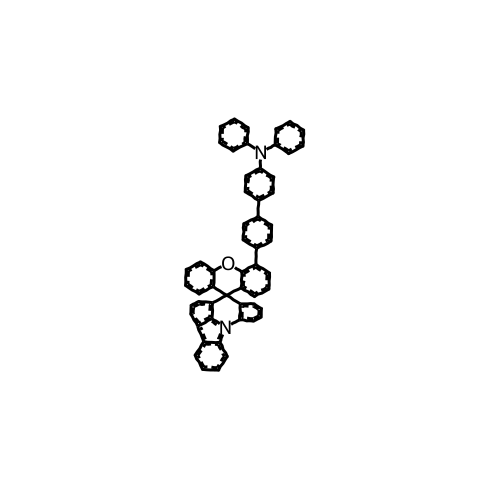 c1ccc(N(c2ccccc2)c2ccc(-c3ccc(-c4cccc5c4Oc4ccccc4C54c5ccccc5-n5c6ccccc6c6cccc4c65)cc3)cc2)cc1